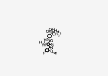 Cc1[nH]c2c(-c3ccc(F)cc3OCC3CC3)ncnc2c1C(=O)NC1CCC(N(C(=O)O)C(C)(C)C)CC1